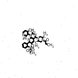 C=CC(=O)N1CC(C)N(c2nc(=O)n(-c3c(C)ccnc3C(C)C)c3nc(-c4ccccc4NS(C)(=O)=O)c(Cl)cc23)CC1C